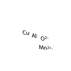 [Al].[Cu].[Mn+2].[O-2]